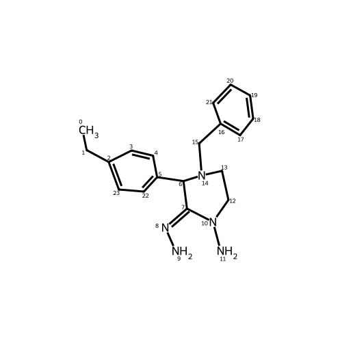 CCc1ccc(C2/C(=N/N)N(N)CCN2Cc2ccccc2)cc1